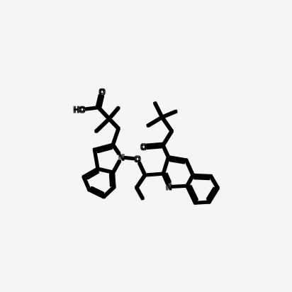 CCC(On1c(CC(C)(C)C(=O)O)cc2ccccc21)c1nc2ccccc2cc1C(=O)CC(C)(C)C